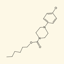 CCCCCCOC(=O)N1CCN(c2ccc([O])cc2)CC1